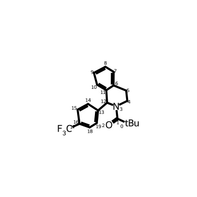 CC(C)(C)C(=O)N1CCc2ccccc2C1c1ccc(C(F)(F)F)cc1